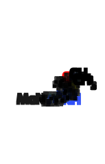 CNC1CCN(c2ccc(Nc3ncc4sc(C(=O)N(C)C)c(C5CCCC5)c4n3)nc2)CC1